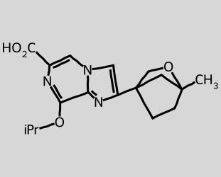 CC(C)Oc1nc(C(=O)O)cn2cc(C34CCC(C)(C3)OC4)nc12